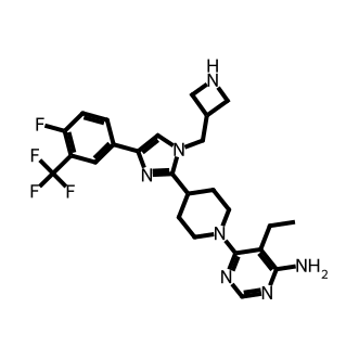 CCc1c(N)ncnc1N1CCC(c2nc(-c3ccc(F)c(C(F)(F)F)c3)cn2CC2CNC2)CC1